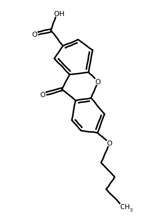 CCCCOc1ccc2c(=O)c3cc(C(=O)O)ccc3oc2c1